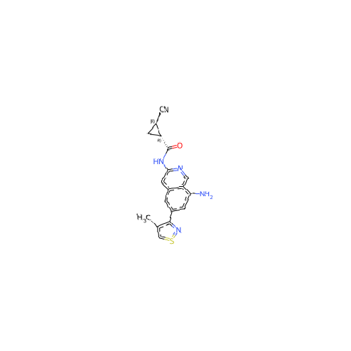 Cc1csnc1-c1cc(N)c2cnc(NC(=O)[C@@H]3C[C@H]3C#N)cc2c1